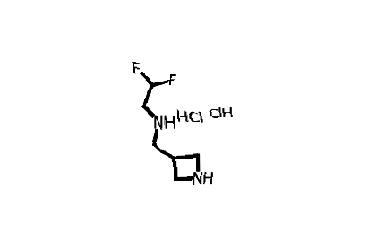 Cl.Cl.FC(F)CNCC1CNC1